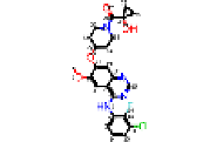 COc1cc2c(Nc3cccc(Cl)c3F)ncnc2cc1OC1CCN(C(=O)C2(O)CC2)CC1